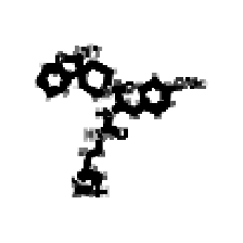 CCCC(=O)C1(c2ccccc2)CCN(C(=O)C(Cc2ccc(OC)cc2)NC(=O)NCCc2c[nH]cn2)CC1